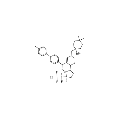 CCCC1(CC2C=C3C(c4ccc(-c5ccc(C)cc5)cc4)CC4(C)C(CC[C@@]4(C)C(F)(F)C(F)(F)CC)C3CC2)CCC(C)(C)CC1